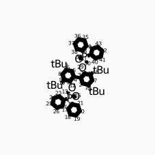 CC(C)(C)c1cc(-c2cc(C(C)(C)C)cc(C(C)(C)C)c2OCP(=O)(c2ccccc2)c2ccccc2)c(OCP(=O)(c2ccccc2)c2ccccc2)c(C(C)(C)C)c1